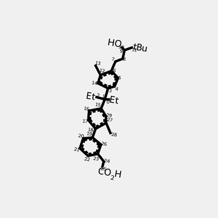 CCC(CC)(c1ccc(CCC(O)C(C)(C)C)c(C)c1)c1ccc(-c2cccc(CC(=O)O)c2)c(C)c1